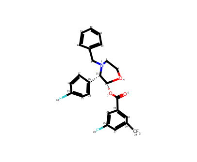 O=C(O[C@H]1OCCN(Cc2ccccc2)[C@H]1c1ccc(F)cc1)c1cc(F)cc(C(F)(F)F)c1